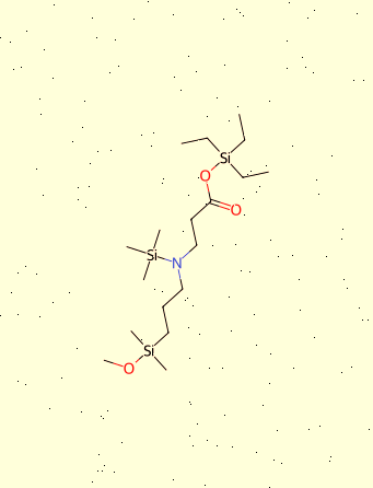 CC[Si](CC)(CC)OC(=O)CCN(CCC[Si](C)(C)OC)[Si](C)(C)C